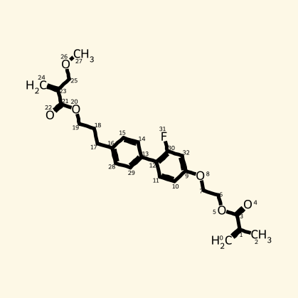 C=C(C)C(=O)OCCOc1ccc(-c2ccc(CCCOC(=O)C(=C)COC)cc2)c(F)c1